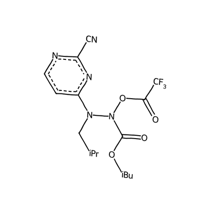 CCC(C)OC(=O)N(OC(=O)C(F)(F)F)N(CC(C)C)c1ccnc(C#N)n1